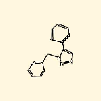 [c]1ccccc1-c1cnnn1Cc1ccccc1